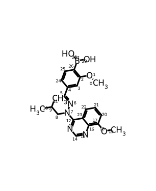 COc1cc(/C=N/N(CC(C)C)c2ncnc3c(OC)cccc23)ccc1B(O)O